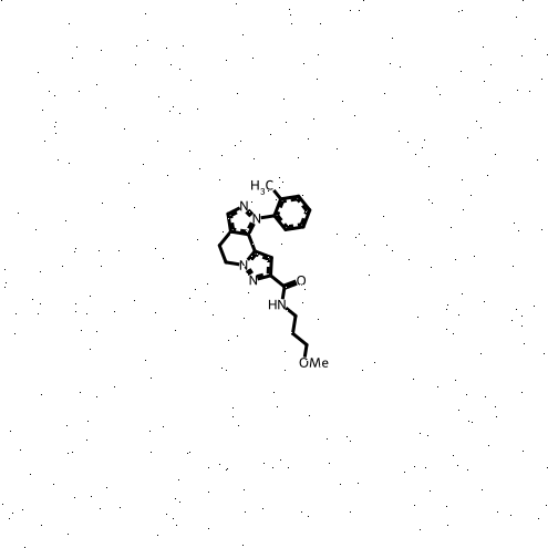 COCCCNC(=O)c1cc2n(n1)CCc1cnn(-c3ccccc3C)c1-2